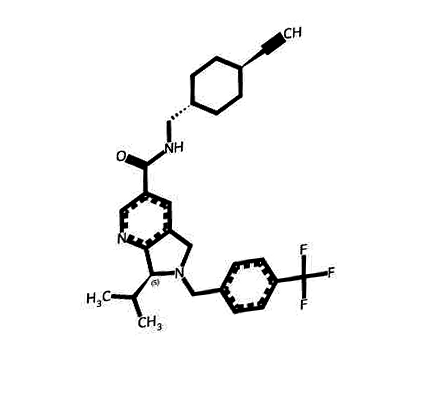 C#C[C@H]1CC[C@H](CNC(=O)c2cnc3c(c2)CN(Cc2ccc(C(F)(F)F)cc2)[C@H]3C(C)C)CC1